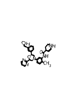 Cc1ccc(N2CC(c3cccc(CO)c3)OC(c3ncccn3)C2)cc1NC(=O)C1CCNCC1